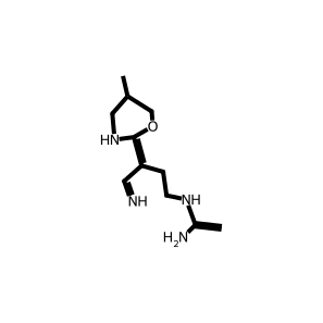 C=C(N)NCC/C(C=N)=C1/NCC(C)CO1